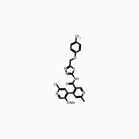 COc1cnc(Cl)cc1-c1cc(C)ncc1C(=O)Nc1nnc(COc2ccc(C(F)(F)F)cc2)s1